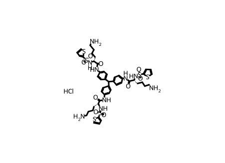 Cl.NCCCC[C@@H](NS(=O)(=O)c1cccs1)C(=O)Nc1ccc(C(c2ccc(NC(=O)[C@@H](CCCCN)NS(=O)(=O)c3cccs3)cc2)c2ccc(NC(=O)[C@@H](CCCCN)NS(=O)(=O)c3cccs3)cc2)cc1